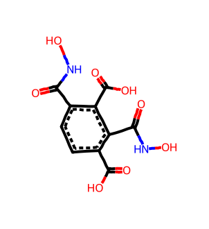 O=C(O)c1ccc(C(=O)NO)c(C(=O)O)c1C(=O)NO